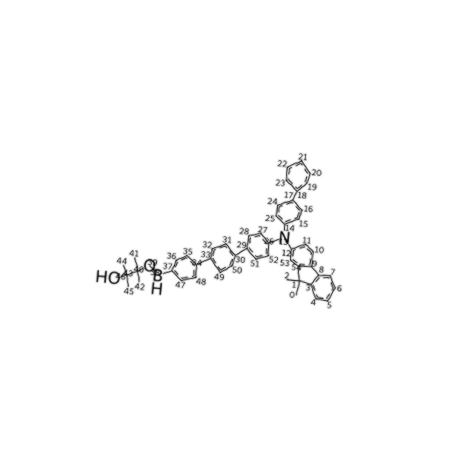 CC1(C)c2ccccc2-c2ccc(N(c3ccc(-c4ccccc4)cc3)c3ccc(-c4ccc(-c5ccc(BOC(C)(C)C(C)(C)O)cc5)cc4)cc3)cc21